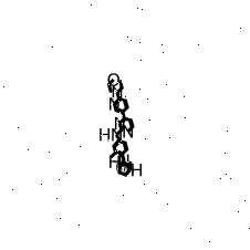 Cc1cc(Nc2nccc(-c3ccc(N4CCOCC4)nc3)n2)ccc1N1C[C@@H]2CC[C@@H]1C2